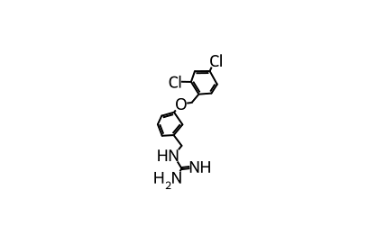 N=C(N)NCc1cccc(OCc2ccc(Cl)cc2Cl)c1